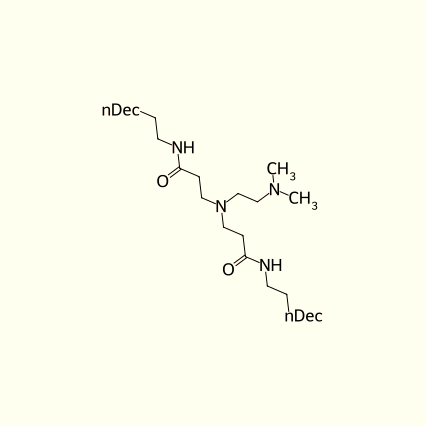 CCCCCCCCCCCCNC(=O)CCN(CCC(=O)NCCCCCCCCCCCC)CCN(C)C